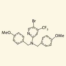 COc1ccc(CN(Cc2ccc(OC)cc2)c2cc(C(F)(F)F)c(Br)cn2)cc1